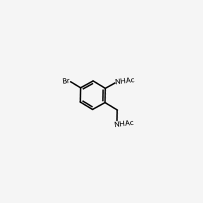 CC(=O)NCc1ccc(Br)cc1NC(C)=O